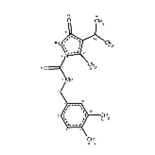 Cc1ccc(CNC(=O)n2oc(=O)c(C(C)C)c2C)cc1C